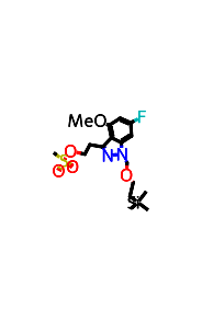 COc1cc(F)cc2c1c(CCOS(C)(=O)=O)nn2COCC[Si](C)(C)C